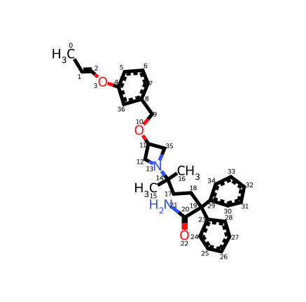 CC=COc1cccc(COC2CN(C(C)(C)CCC(C(N)=O)(c3ccccc3)c3ccccc3)C2)c1